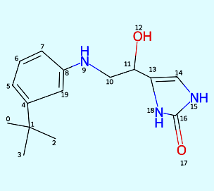 CC(C)(C)c1cccc(NCC(O)c2c[nH]c(=O)[nH]2)c1